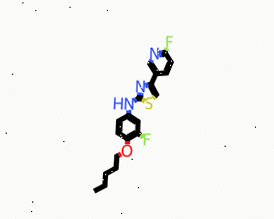 CCCCCOc1ccc(Nc2nc(-c3ccc(F)nc3)cs2)cc1F